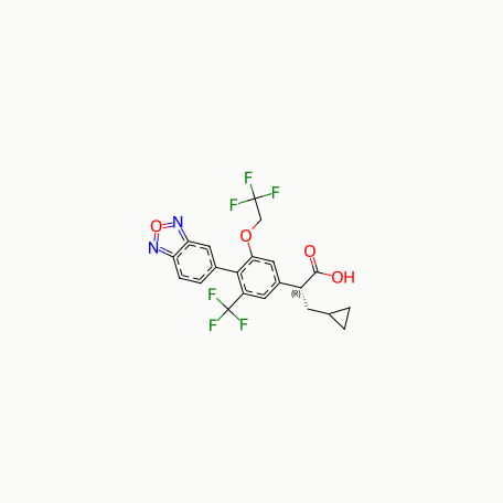 O=C(O)[C@H](CC1CC1)c1cc(OCC(F)(F)F)c(-c2ccc3nonc3c2)c(C(F)(F)F)c1